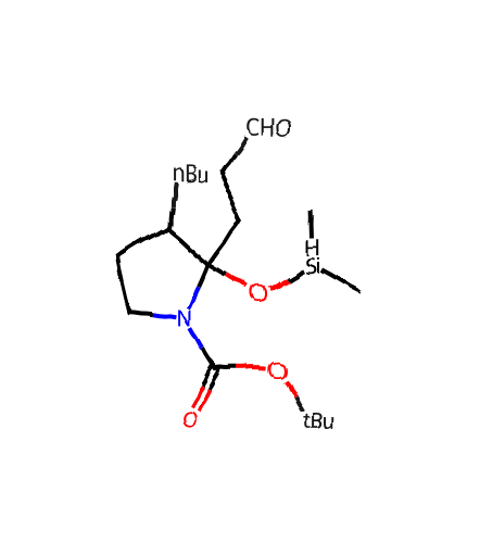 CCCCC1CCN(C(=O)OC(C)(C)C)C1(CCC=O)O[SiH](C)C